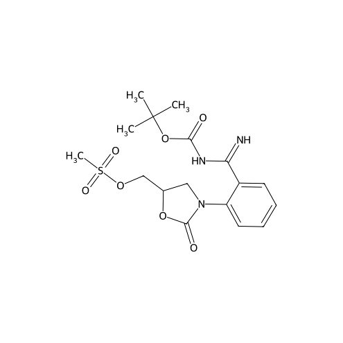 CC(C)(C)OC(=O)NC(=N)c1ccccc1N1CC(COS(C)(=O)=O)OC1=O